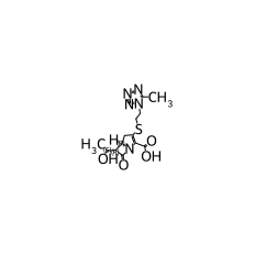 Cc1nnnn1CCSC1=C(C(=O)O)N2C(=O)[C@@H]([C@H](C)O)[C@H]2C1